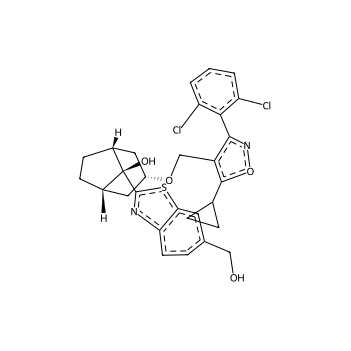 OCc1ccc2nc([C@@]3(O)[C@@H]4CC[C@H]3C[C@@H](OCc3c(-c5c(Cl)cccc5Cl)noc3C3CC3)C4)sc2c1